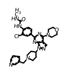 CNC(=O)Nc1ccc(-c2nc(N3CCOCC3)c3cnn(C4CCN(Cc5cccnc5)CC4)c3n2)cc1Cl